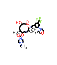 C/C(=C\c1cc(N2CCOCC2)cc(C(F)(F)F)c1)[C@H]1OC(=O)C[C@H](O)CC[C@H](C)[C@H](OC(=O)N2CCN(C)CC2)/C=C/[C@@H]1C